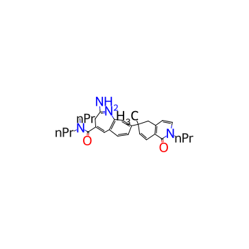 CCCN(CCC)C(=O)C1=Cc2ccc(C3(C)C=Cc4c(ccn(CCC)c4=O)C3)cc2N=C(N)C1